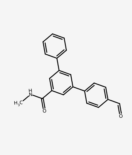 CNC(=O)c1cc(-c2ccccc2)cc(-c2ccc(C=O)cc2)c1